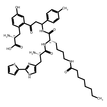 CCCCCCCC(=O)NCCCC[C@H](NC(=O)[C@@H](N)Cc1c[nH]c(-c2cccs2)n1)C(=O)NC(CC(=O)c1cc(O)ccc1C[C@@H](N)C(=O)O)c1ccc(C)cc1